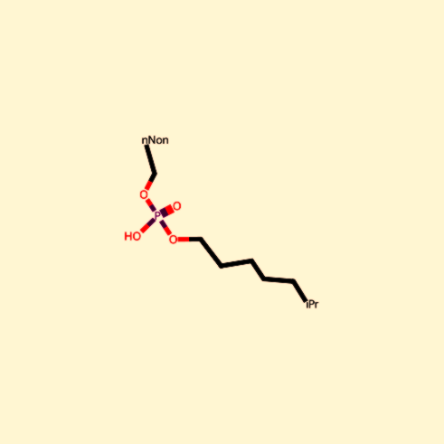 CCCCCCCCCCOP(=O)(O)OCCCCCC(C)C